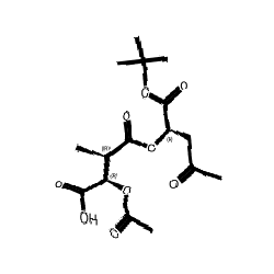 CC(=O)C[C@@H](OC(=O)[C@H](C)[C@@H](OC(C)=O)C(=O)O)C(=O)OC(C)(C)C